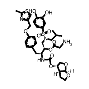 Cc1nc(COc2ccc(C[C@H](NC(=O)O[C@H]3CO[C@H]4OCC[C@H]43)[C@@H](CN(CC(C)C)S(=O)(=O)c3ccc(O)c(O)c3)OC(=O)CN)cc2)cs1